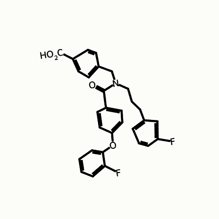 O=C(O)c1ccc(CN(CCCc2cccc(F)c2)C(=O)c2ccc(Oc3ccccc3F)cc2)cc1